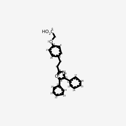 O=C(O)COc1ccc(CCc2nc(-c3ccccc3)c(-c3ccccc3)o2)cc1